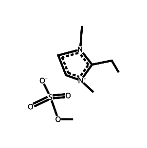 CCc1n(C)cc[n+]1C.COS(=O)(=O)[O-]